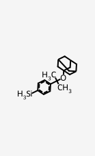 CC(C)(OC12CC3CC(CC(C3)C1)C2)c1ccc([SiH3])cc1